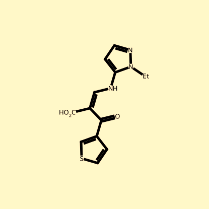 CCn1nccc1NC=C(C(=O)O)C(=O)c1ccsc1